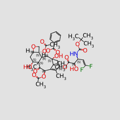 CC(=O)O[C@H]1C(=O)[C@@]2(C)[C@H]([C@H](OC(=O)c3ccccc3)[C@]3(O)C[C@H](OC(=O)[C@H](O)[C@H](C=C(F)F)NC(=O)OC(C)(C)C)C(C)=C1C3(C)C)[C@]1(OC(C)=O)CO[C@@H]1C[C@@H]2O